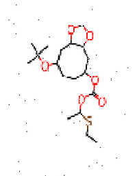 CCSC(C)OC(=O)OC1CCC(OC(C)(C)C)CC2OCOC2C1